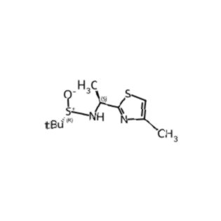 Cc1csc([C@H](C)N[S@@+]([O-])C(C)(C)C)n1